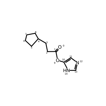 O=C(CCC1CCCC1)Oc1cnc[nH]1